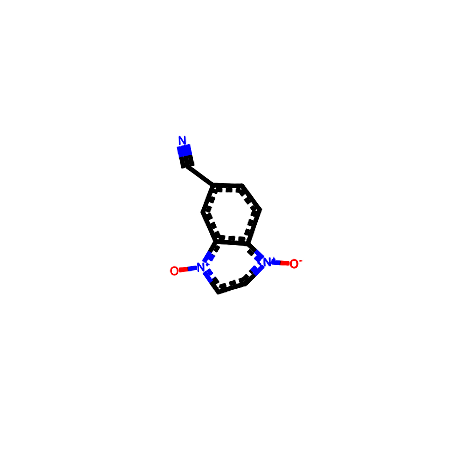 N#Cc1ccc2c(c1)[n+]([O-])cc[n+]2[O-]